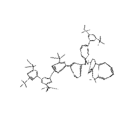 CC(C)(C)c1cc(-c2cccc(N(c3cccc(-c4cc(C(C)(C)C)cc(C(C)(C)C)c4)c3)c3ccc4c(c3)C(C)(C)c3ccccc3-4)c2)cc(-c2cc(-c3cc(C(C)(C)C)cc(C(C)(C)C)c3)cc(C(C)(C)C)c2)c1